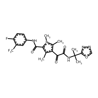 Cc1c(C(=O)C(=O)NC(C)(C)c2nnco2)c(C)n(C)c1C(=O)Nc1ccc(F)c(C(F)(F)F)c1